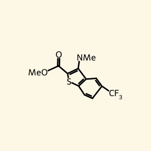 CNc1c(C(=O)OC)sc2ccc(C(F)(F)F)cc12